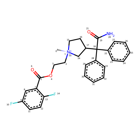 C[N@+]1(CCOC(=O)c2cc(F)ccc2F)CCC(C(C(N)=O)(c2ccccc2)c2ccccc2)C1